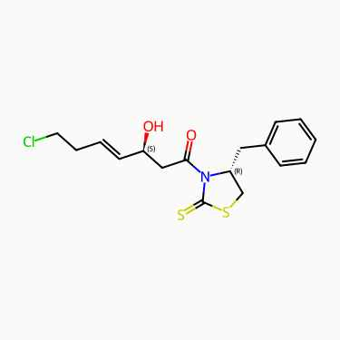 O=C(C[C@H](O)C=CCCCl)N1C(=S)SC[C@H]1Cc1ccccc1